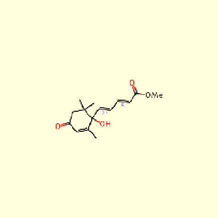 COC(=O)/C=C/C=C/C1(O)C(C)=CC(=O)CC1(C)C